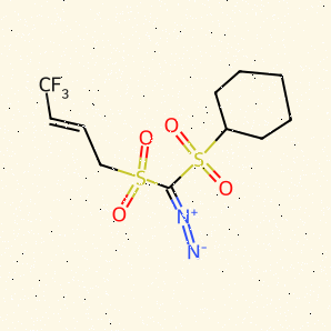 [N-]=[N+]=C(S(=O)(=O)CC=CC(F)(F)F)S(=O)(=O)C1CCCCC1